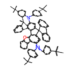 CC(C)(C)c1ccc(N2c3ccc(C(C)(C)C)cc3C3(C)c4ccccc4-c4c5c(cc2c43)C2(c3ccccc3-c3ccccc32)c2cc(N(c3ccc(C(C)(C)C)cc3)c3ccc(C(C)(C)C)cc3)c3c(oc4ccccc43)c2-5)cc1